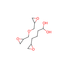 C(OCC1CO1)C1CO1.OC(O)CCCC1CO1